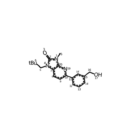 Cn1c(=O)n(CC(C)(C)C)c2ccc(-c3cccc(CO)c3)nc21